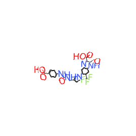 O=CC1Nc2cc(C(F)(F)F)c(-n3ccc(CNC(=O)Nc4ccc(C(=O)O)cc4)c3)cc2N=C1C(=O)O